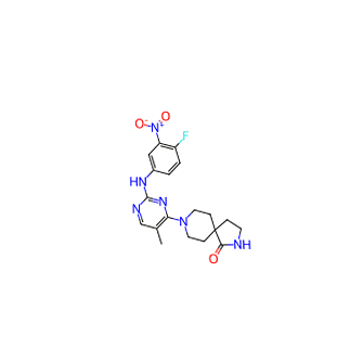 Cc1cnc(Nc2ccc(F)c([N+](=O)[O-])c2)nc1N1CCC2(CCNC2=O)CC1